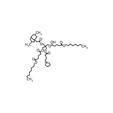 CCCCCCCCOC(=O)CCCC(=O)OCC(COC(=O)CCCN1CCCC1)(COC(=O)CC12CC(C)CC(CC(C)C1)C2)COC(O)CCCC(=O)OCCCCCCCC